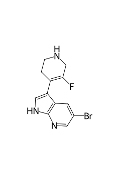 FC1=C(c2c[nH]c3ncc(Br)cc23)CCNC1